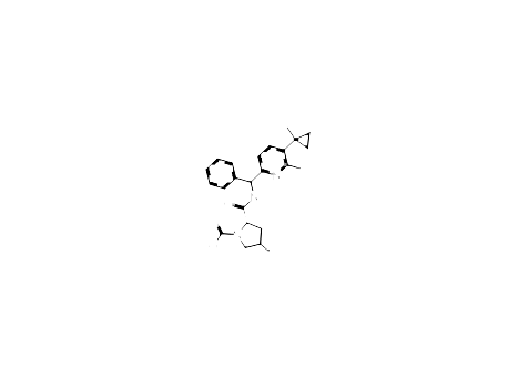 CC1(c2ccc(C(NC(=O)[C@H]3CC(F)CN3C(=O)O)c3ccccc3)nc2F)CC1